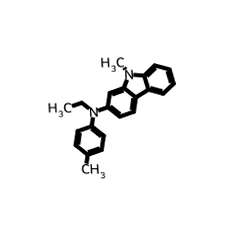 CCN(c1ccc(C)cc1)c1ccc2c3ccccc3n(C)c2c1